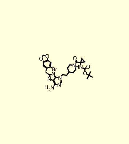 CC(C)(C)OC(=O)NC1(C(=O)N2CCC(CCn3cnc(N)c4nc(Sc5cc6c(cc5Br)OCO6)nc3-4)CC2)CC1